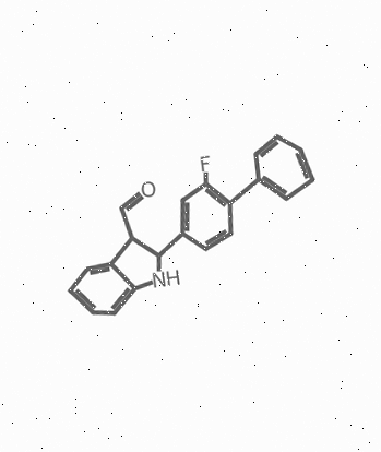 O=CC1c2ccccc2NC1c1ccc(-c2ccccc2)c(F)c1